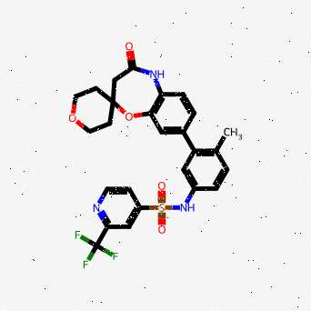 Cc1ccc(NS(=O)(=O)c2ccnc(C(F)(F)F)c2)cc1-c1ccc2c(c1)OC1(CCOCC1)CC(=O)N2